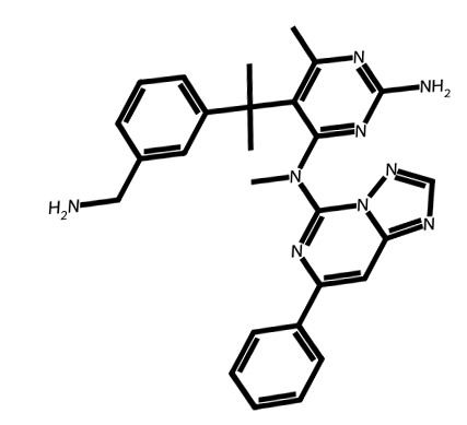 Cc1nc(N)nc(N(C)c2nc(-c3ccccc3)cc3ncnn23)c1C(C)(C)c1cccc(CN)c1